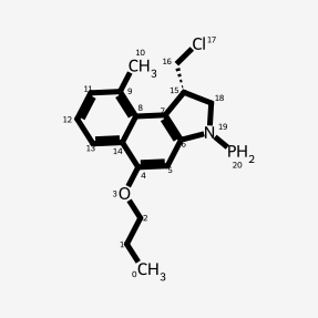 CCCOc1cc2c(c3c(C)cccc13)[C@H](CCl)CN2P